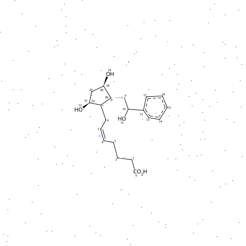 O=C(O)CCC/C=C\CC1[C@@H](CC(O)c2ccccc2)[C@H](O)C[C@@H]1O